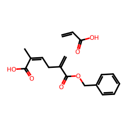 C=C(CC=C(C)C(=O)O)C(=O)OCc1ccccc1.C=CC(=O)O